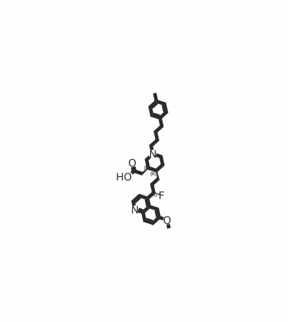 COc1ccc2nccc([C@@H](F)CC[C@@H]3CCN(CCCCc4ccc(C)cc4)C[C@@H]3CC(=O)O)c2c1